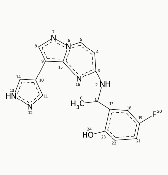 CC(Nc1ccn2ncc(-c3cn[nH]c3)c2n1)c1cc(F)ccc1O